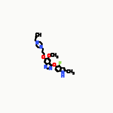 C#CCN1CCN(CCCOc2cc3ncnc(Oc4ccc5[nH]c(C)cc5c4F)c3cc2OC)CC1